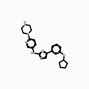 c1cc(OC2CCCC2)cc(-c2cnc(Nc3ccc(N4CCNCC4)nc3)o2)c1